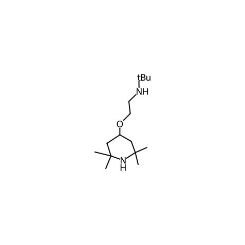 CC(C)(C)NCCOC1CC(C)(C)NC(C)(C)C1